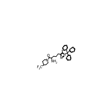 Cc1c(CCCC(N)C(=O)N2CCC(C(F)(F)F)CC2)ncn1C(c1ccccc1)(c1ccccc1)c1ccccc1